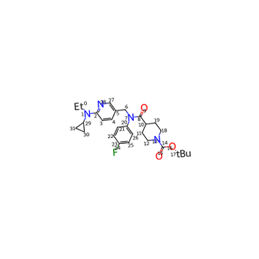 CCN(c1ccc(CN(C(=O)C2CCN(C(=O)OC(C)(C)C)CC2)c2ccc(F)cc2)cn1)C1CC1